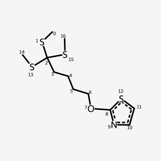 CSC(CCCCOc1nccs1)(SC)SC